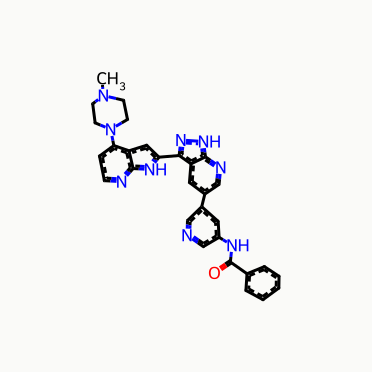 CN1CCN(c2ccnc3[nH]c(-c4n[nH]c5ncc(-c6cncc(NC(=O)c7ccccc7)c6)cc45)cc23)CC1